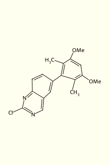 COc1cc(OC)c(C)c(-c2ccc3nc(Cl)ncc3c2)c1C